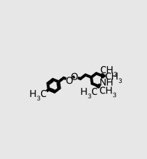 Cc1ccc(COOCCC2CC(C)(C)NC(C)(C)C2)cc1